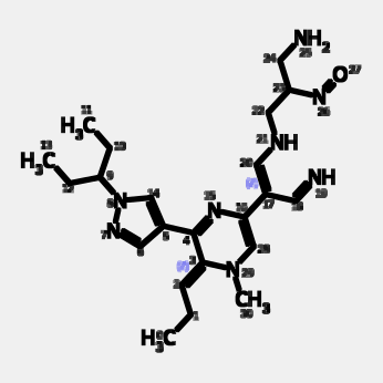 CC/C=C1/C(c2cnn(C(CC)CC)c2)=NC(/C(C=N)=C/NCC(CN)N=O)=CN1C